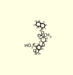 CC1(C(=O)OCc2cccc3ccccc23)CCC(Oc2cc3c(c(C(=O)O)c2)OCC3)CC1